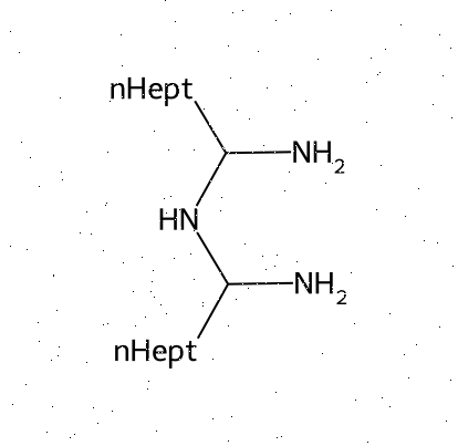 [CH2]CCCCCCC(N)NC(N)CCCCCC[CH2]